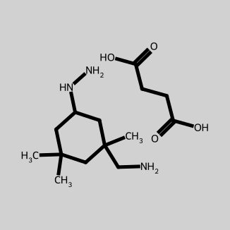 CC1(C)CC(NN)CC(C)(CN)C1.O=C(O)CCC(=O)O